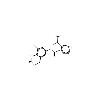 Cc1cc(NC(=O)c2ccncc2C(F)C(F)F)cc2c1NC(=O)CC2